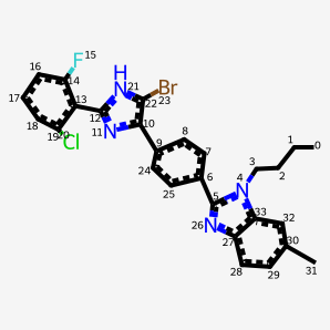 CCCCn1c(-c2ccc(-c3nc(-c4c(F)cccc4Cl)[nH]c3Br)cc2)nc2ccc(C)cc21